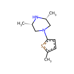 Cc1ccc(N2C[C@@H](C)N[C@@H](C)C2)s1